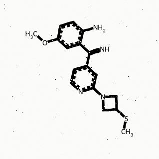 COc1ccc(N)c(C(=N)c2ccnc(N3CC(SC)C3)c2)c1